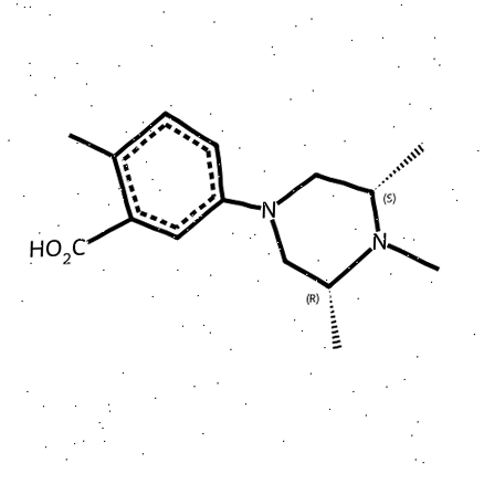 Cc1ccc(N2C[C@@H](C)N(C)[C@@H](C)C2)cc1C(=O)O